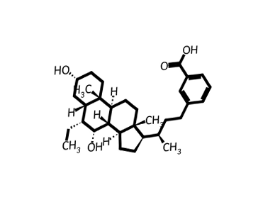 CC[C@H]1[C@@H](O)[C@@H]2[C@H](CC[C@]3(C)[C@@H]([C@H](C)CCc4cccc(C(=O)O)c4)CC[C@@H]23)[C@@]2(C)CC[C@@H](O)C[C@@H]12